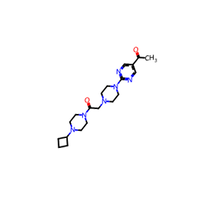 CC(=O)c1cnc(N2CCN(CC(=O)N3CCN(C4CCC4)CC3)CC2)nc1